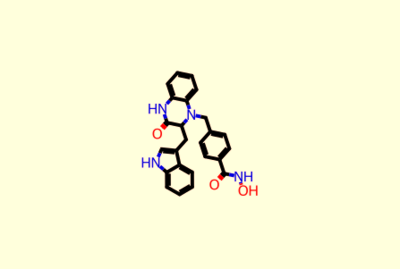 O=C(NO)c1ccc(CN2c3ccccc3NC(=O)C2Cc2c[nH]c3ccccc23)cc1